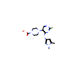 Cc1cc(Nc2nc(Cl)ncc2N2CCN(C(=O)OC(C)(C)C)[C@H](C)C2)cn1C